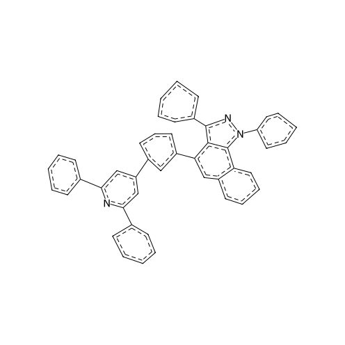 c1ccc(-c2cc(-c3cccc(-c4cc5ccccc5c5c4c(-c4ccccc4)nn5-c4ccccc4)c3)cc(-c3ccccc3)n2)cc1